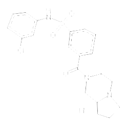 O=C(c1cccc(S(=O)(=O)Nc2cccc(Cl)c2)c1)N1CCN2CCC[C@H]2C1